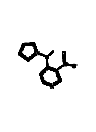 CN(c1ccncc1[N+](=O)[O-])n1cccc1